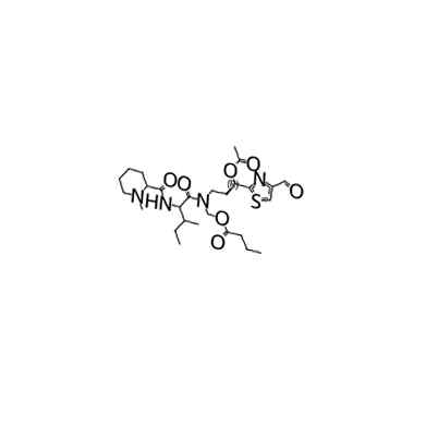 CCCC(=O)OCN(CC[C@@H](OC(C)=O)c1nc(C=O)cs1)C(=O)C(NC(=O)C1CCCCN1C)C(C)CC